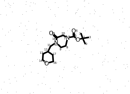 CC(C)(C)OC(=O)N1CCN(CC2CCOCC2)C(=O)C1